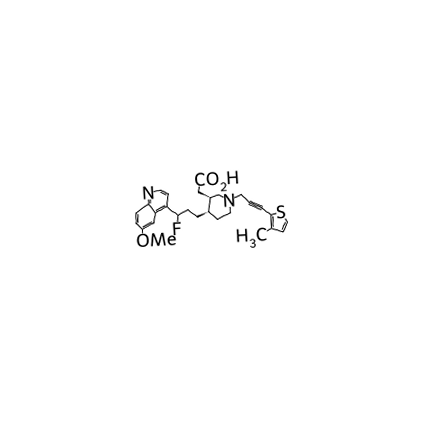 COc1ccc2nccc(C(F)CC[C@@H]3CCN(CC#Cc4sccc4C)C[C@@H]3CC(=O)O)c2c1